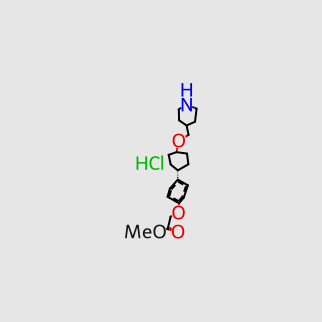 COC(=O)COc1ccc([C@H]2CC[C@H](OCC3CCNCC3)CC2)cc1.Cl